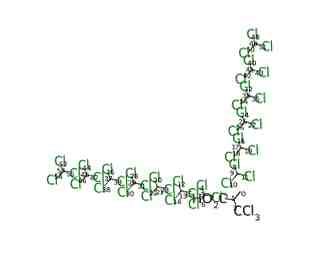 CC(C(=O)O)C(Cl)(Cl)Cl.ClC(Cl)Cl.ClC(Cl)Cl.ClC(Cl)Cl.ClC(Cl)Cl.ClC(Cl)Cl.ClC(Cl)Cl.ClC(Cl)Cl.ClC(Cl)Cl.ClC(Cl)Cl.ClC(Cl)Cl.ClC(Cl)Cl.ClC(Cl)Cl.ClC(Cl)Cl